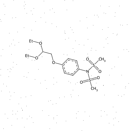 CCOC(COc1ccc(N(S(C)(=O)=O)S(C)(=O)=O)cc1)OCC